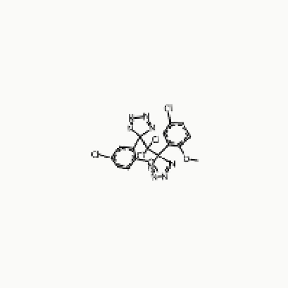 COc1ccc(Cl)cc1C1(C(Cl)(Cl)C2(c3cc(Cl)ccc3OC)N=NN=N2)N=NN=N1